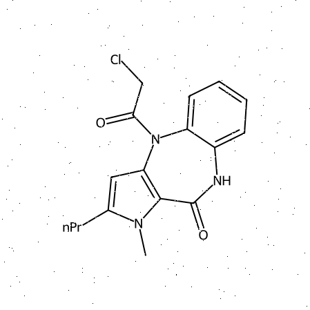 CCCc1cc2c(n1C)C(=O)Nc1ccccc1N2C(=O)CCl